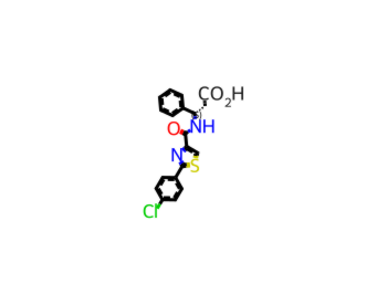 O=C(O)C[C@H](NC(=O)c1csc(-c2ccc(Cl)cc2)n1)c1ccccc1